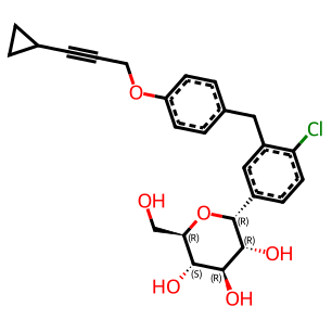 OC[C@H]1O[C@H](c2ccc(Cl)c(Cc3ccc(OCC#CC4CC4)cc3)c2)[C@H](O)[C@@H](O)[C@@H]1O